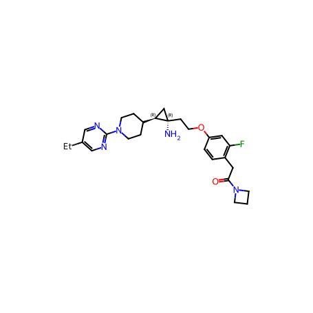 CCc1cnc(N2CCC([C@H]3C[C@@]3(N)CCOc3ccc(CC(=O)N4CCC4)c(F)c3)CC2)nc1